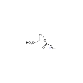 C/C=C/C(=O)OC(CS(=O)(=O)O)C(F)(F)F